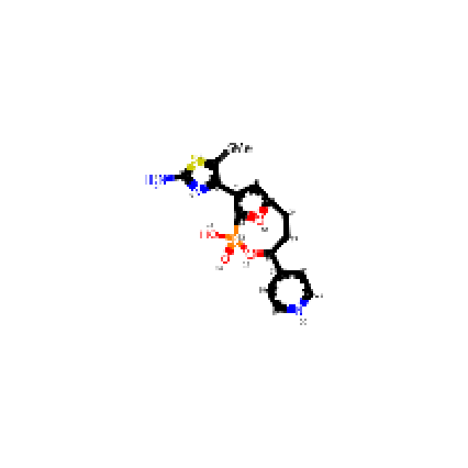 CSc1sc(N)nc1-c1cc2oc1P(=O)(O)OC(c1ccncc1)CC2